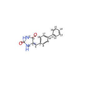 O=C1NC(=O)/C(=C\c2ccc(-c3ccccc3)cc2)N1